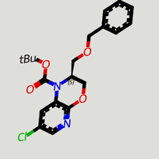 CC(C)(C)OC(=O)N1c2cc(Cl)cnc2OC[C@@H]1COCc1ccccc1